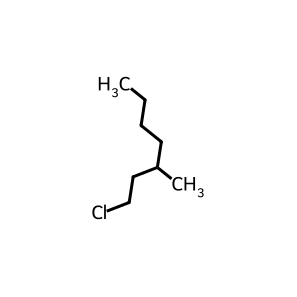 CCCCC(C)CCCl